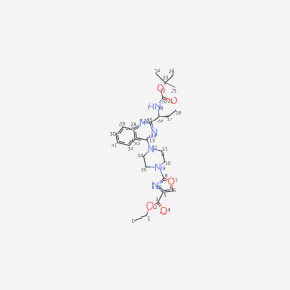 CCOC(=O)c1coc(N2CCN(c3nc([C@H](CC)NC(=O)OC(C)(C)C)nc4ccccc34)CC2)n1